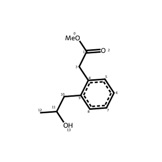 COC(=O)Cc1ccccc1CC(C)O